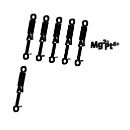 [Mg+2].[O]=[Al][O-].[O]=[Al][O-].[O]=[Al][O-].[O]=[Al][O-].[O]=[Al][O-].[O]=[Al][O-].[Pt+4]